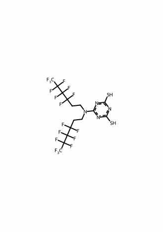 FC(F)(F)C(F)(F)C(F)(F)C(F)(F)CCN(CCC(F)(F)C(F)(F)C(F)(F)C(F)(F)F)c1nc(S)nc(S)n1